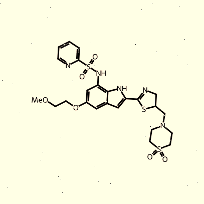 COCCOc1cc(NS(=O)(=O)c2ccccn2)c2[nH]c(C3=NCC(CN4CCS(=O)(=O)CC4)S3)cc2c1